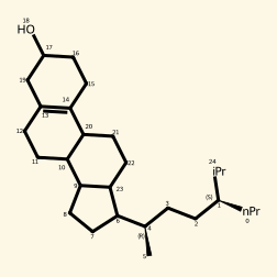 CCC[C@@H](CC[C@@H](C)C1CCC2C3CCC4=C(CCC(O)C4)C3CCC21)C(C)C